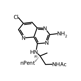 CCCCC[C@](C)(CNC(C)=O)Nc1nc(N)nc2cc(Cl)cnc12